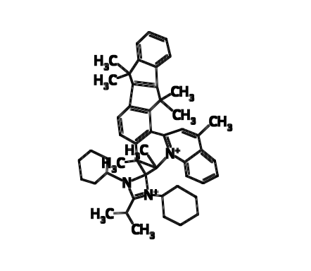 Cc1cc2[n+](c3ccccc13)C1(C)C(C)(c3ccc4c(c3-2)C(C)(C)C2=C4C(C)(C)c3ccccc32)C12N(C1CCCCC1)C(C(C)C)=[N+]2C1CCCCC1